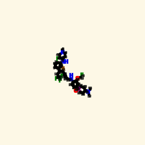 CN1CCC(Nc2cccc3c(CC(F)(F)F)c(C#CCNc4ccc(P5(=O)CCC(N(C)C)CC5)cc4OCF)sc23)C(F)C1